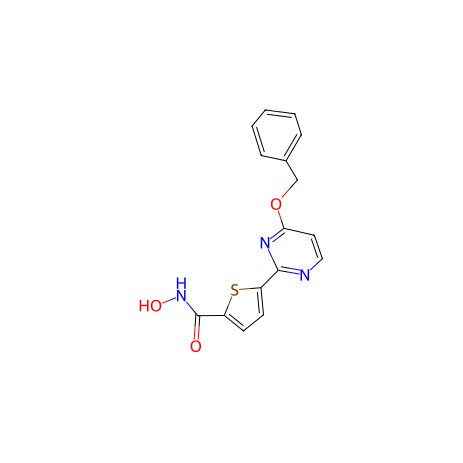 O=C(NO)c1ccc(-c2nccc(OCc3ccccc3)n2)s1